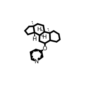 C[C@@]12CCC[C@H]1[C@@H]1CC(Oc3cccnc3)C3CCCC[C@]3(C)[C@@H]1CC2